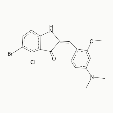 COc1cc(N(C)C)ccc1/C=C1/Nc2ccc(Br)c(Cl)c2C1=O